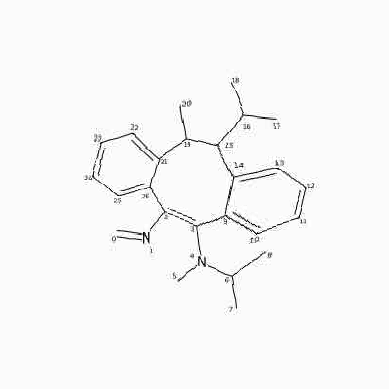 C=N/C1=C(\N(C)C(C)C)c2ccccc2C(C(C)C)C(C)c2ccccc21